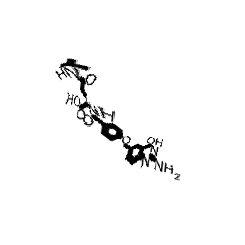 CC(C)(C)NC(=O)CC[C@H](NC(=O)c1ccc(OCc2ccc3nc(N)nc(O)c3c2)cc1)C(=O)O